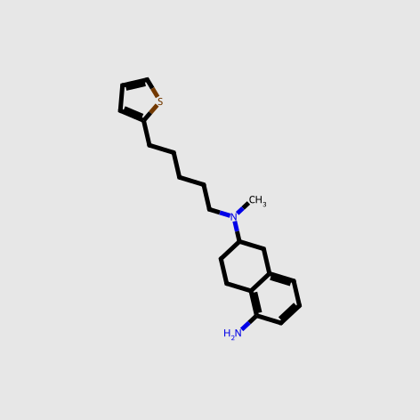 CN(CCCCCc1cccs1)C1CCc2c(N)cccc2C1